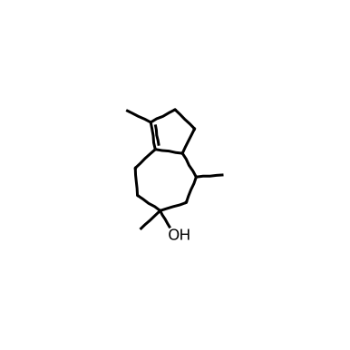 CC1=C2CCC(C)(O)CC(C)C2CC1